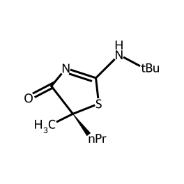 CCC[C@]1(C)SC(NC(C)(C)C)=NC1=O